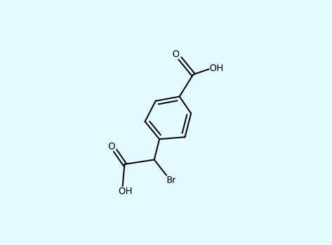 O=C(O)c1ccc(C(Br)C(=O)O)cc1